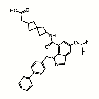 O=C(O)CC1CC2(C1)CC(NC(=O)c1cc(OC(F)F)cc3cnn(Cc4ccc(-c5ccccc5)cc4)c13)C2